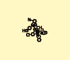 Cc1c(C(=O)N(Cc2ccccc2C#N)c2ccc(O)cc2)cc(-c2cc(Cl)ccc2C(=O)N2Cc3ccccc3C[C@H]2CN2CCOCC2)n1C